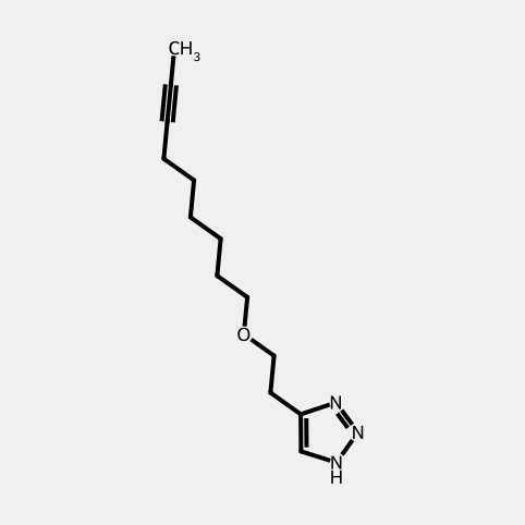 CC#CCCCCCCOCCc1c[nH]nn1